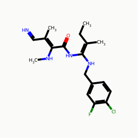 CC/C(C)=C(/NCc1ccc(Cl)c(F)c1)NC(=O)/C(NC)=C(\C)C=N